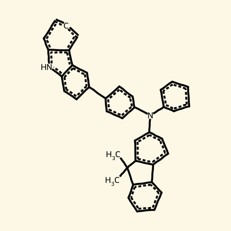 CC1(C)c2ccccc2-c2ccc(N(c3ccccc3)c3ccc(-c4ccc5[nH]c6ccccc6c5c4)cc3)cc21